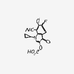 N#Cc1c(Cl)c(F)cc2c(=O)c(OC(=O)O)cn(C3CC3)c12